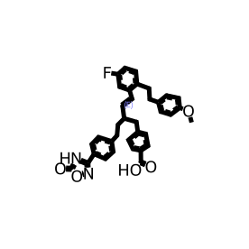 COc1ccc(CCc2ccc(F)cc2/C=C/C(CCc2ccc(-c3noc(=O)[nH]3)cc2)Cc2ccc(C(=O)O)cc2)cc1